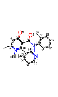 CCCCCCn1c(C)cc(=O)c(C(=O)Nc2ccccc2C)c1-c1cccnc1